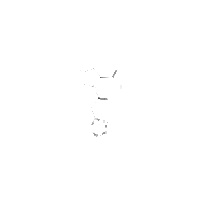 NC(=O)C1CC(F)CN1C(=O)Cc1ncco1